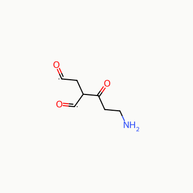 NCCC(=O)C([C]=O)C[C]=O